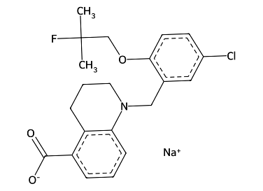 CC(C)(F)COc1ccc(Cl)cc1CN1CCCc2c(C(=O)[O-])cccc21.[Na+]